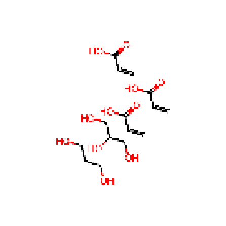 C=CC(=O)O.C=CC(=O)O.C=CC(=O)O.OCC(O)CO.OCCCO